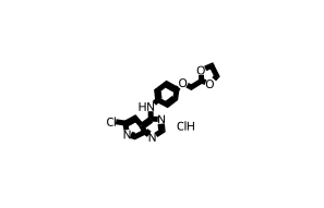 Cl.Clc1cc2c(Nc3ccc(OCC4OCCO4)cc3)ncnc2cn1